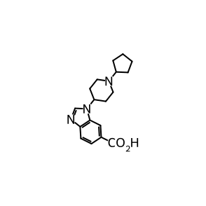 O=C(O)c1ccc2ncn(C3CCN(C4CCCC4)CC3)c2c1